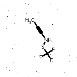 CC#CNSC(F)(F)F